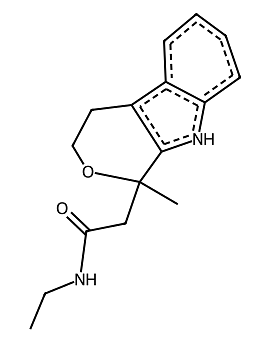 CCNC(=O)CC1(C)OCCc2c1[nH]c1ccccc21